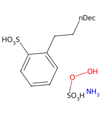 CCCCCCCCCCCCc1ccccc1S(=O)(=O)O.N.O=S(=O)(O)OO